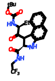 CC[C@H](NC(=O)OC(C)(C)C)C(=O)C1c2c(ccc3ccccc23)N[C@@H]1C(=O)NCC(F)(F)F